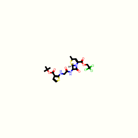 CC1C=C(C(=O)OCC(Cl)(Cl)Cl)N2C(=O)C(NC(=O)CNc3sccc3C(=O)OC(C)(C)C)[C@H]2S1